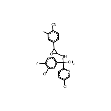 CC(NC1OC1c1ccc(C#N)c(F)c1)(c1ccc(Cl)c(Cl)c1)c1ccc(Cl)cn1